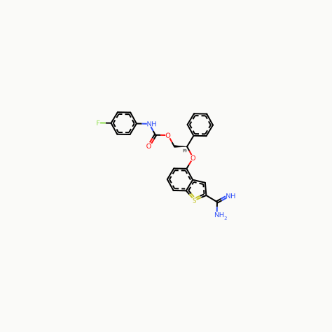 N=C(N)c1cc2c(O[C@@H](COC(=O)Nc3ccc(F)cc3)c3ccccc3)cccc2s1